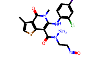 Cc1csc2c(C(=O)N(N)CCN=O)c(Nc3ccc(I)cc3Cl)n(C)c(=O)c12